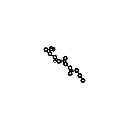 c1ccc(-c2ccc(-c3cccc(-n4c5ccccc5c5cc(-c6ccc7c(c6)c6ccccc6n7-c6ccc7oc8cc(-c9ccc%10c(c9)C9(c%11ccccc%11-%10)C%10CC%11CC(C%10)CC9C%11)ccc8c7c6)ccc54)c3)cc2)cc1